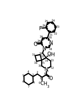 CC(CC1CCCCC1)C(=O)N1CC[C@@](O)(Cn2cnc(-c3ccccc3F)cc2=O)C2(CCC2)C1